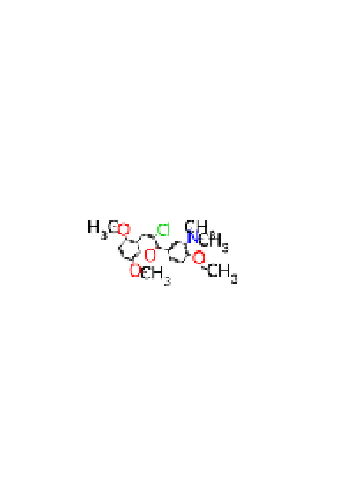 CCOc1ccc(C(=O)/C(Cl)=C\c2cc(OC)ccc2OC)cc1N(C)C